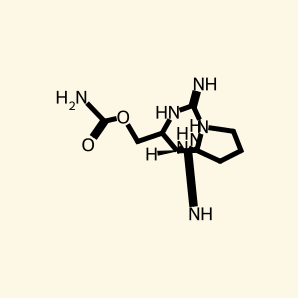 N=C1N[C@H]2C(COC(N)=O)NC(=N)N3CCCC23N1